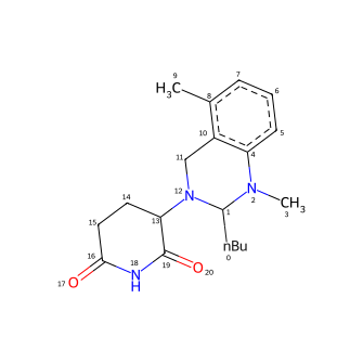 CCCCC1N(C)c2cccc(C)c2CN1C1CCC(=O)NC1=O